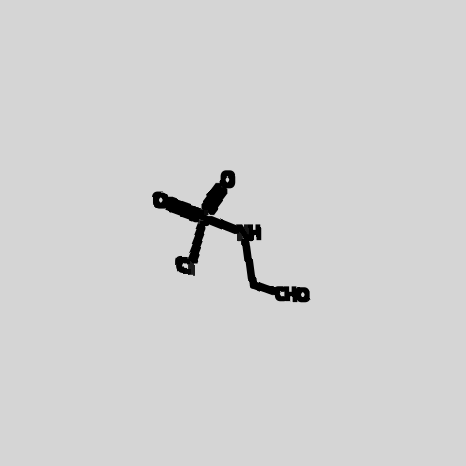 O=CCNS(=O)(=O)Cl